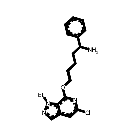 CCn1ncc2cc(Cl)nc(OCCCCC(N)c3ccccc3)c21